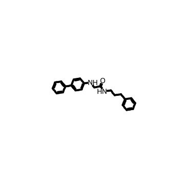 O=C(CNc1ccc(-c2ccccc2)cc1)NCCCc1ccccc1